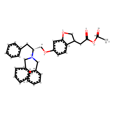 O=C(CC1COc2cc(OC[C@@H](Cc3ccccc3)N(Cc3ccccc3)Cc3ccccc3)ccc21)OC(=O)C(F)(F)F